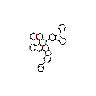 c1ccc(-c2cccc3cccc(-c4ccccc4N(c4ccc5c(c4)oc4ccc(C6CC7CCC6C7)cc45)c4ccc5c(c4)c4ccccc4n5-c4ccccc4)c23)cc1